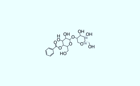 O=C(OC1C(CO)OC(OC2CO[C@@H](CO)[C@@H](O)C2O)C(O)C1O)c1ccccc1